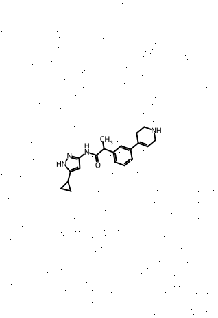 CC(C(=O)Nc1cc(C2CC2)[nH]n1)c1cccc(C2=CCNCC2)c1